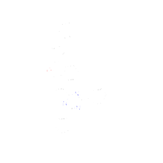 c1ccc(-c2ccc3c(c2)-c2cccc4c(-c5nc(-c6ccccc6)nc(-c6ccccc6)n5)ccc(c24)O3)cc1